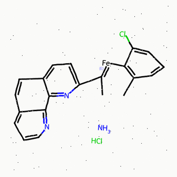 C/[C](=[Fe]\[c]1c(C)cccc1Cl)c1ccc2ccc3cccnc3c2n1.Cl.N